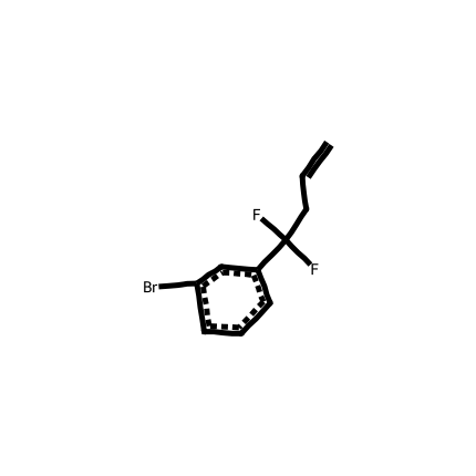 C=CCC(F)(F)c1cccc(Br)c1